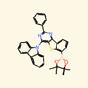 CC1(C)OB(c2cccc3c2sc2c(-n4c5ccccc5c5ccccc54)nc(-c4ccccc4)nc23)OC1(C)C